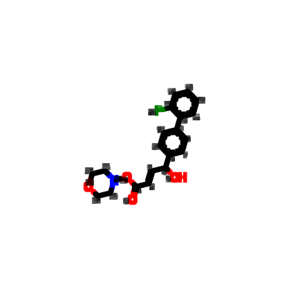 O=C(/C=C/C(O)c1ccc(-c2ccccc2F)cc1)ON1CCOCC1